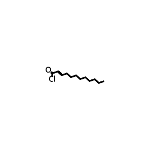 CCCCCCCCCC=CC(=O)Cl